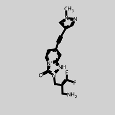 Cn1cc(C#Cc2cc[n+]3c(=O)n(CC(CN)=C(F)F)[nH]c3c2)cn1